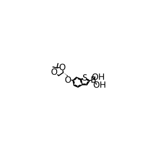 CC1(C)OC[C@@H](COc2ccc3cc(B(O)O)sc3c2)O1